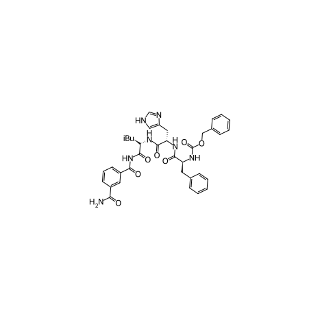 CC[C@H](C)[C@H](NC(=O)[C@H](Cc1c[nH]cn1)NC(=O)[C@H](Cc1ccccc1)NC(=O)OCc1ccccc1)C(=O)NC(=O)c1cccc(C(N)=O)c1